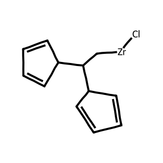 [Cl][Zr][CH2]C(C1C=CC=C1)C1C=CC=C1